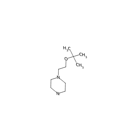 CC(C)(C)OCCN1CC[N]CC1